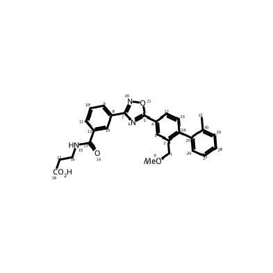 COCc1cc(-c2nc(-c3cccc(C(=O)NCCC(=O)O)c3)no2)ccc1-c1ccccc1C